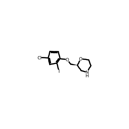 Clc1ccc(OC[C@@H]2CNCCO2)c(I)c1